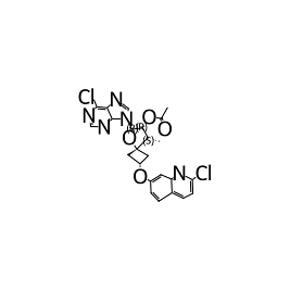 CC(=O)O[C@H]1[C@H](n2cnc3c(Cl)ncnc32)O[C@]2(C[C@@H](Oc3ccc4ccc(Cl)nc4c3)C2)[C@H]1C